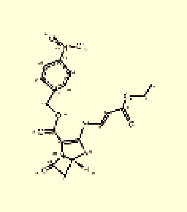 CCOC(=O)/C=C/SC1=C(C(=O)OCc2ccc([N+](=O)[O-])cc2)N2C(=O)C[C@H]2S1